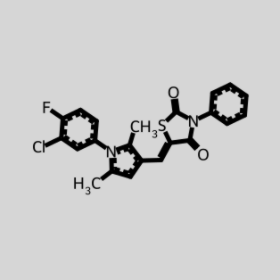 Cc1cc(C=C2SC(=O)N(c3ccccc3)C2=O)c(C)n1-c1ccc(F)c(Cl)c1